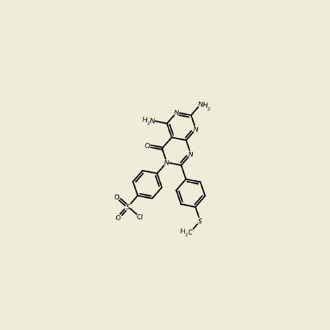 CSc1ccc(-c2nc3nc(N)nc(N)c3c(=O)n2-c2ccc(S(=O)(=O)Cl)cc2)cc1